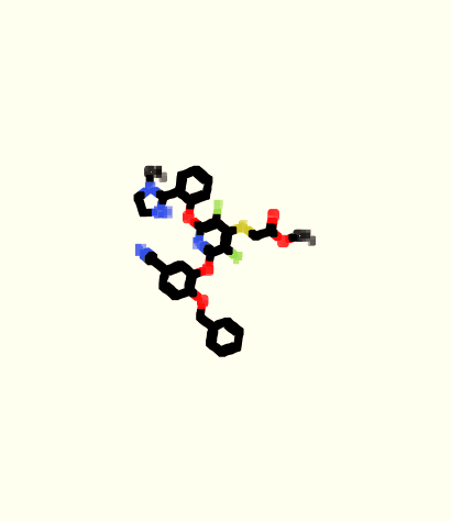 COC(=O)CSc1c(F)c(Oc2cc(C#N)ccc2OCc2ccccc2)nc(Oc2ccccc2C2NCCN2C)c1F